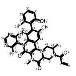 C=CC(=O)N1CC2C(=O)N(C)c3c(c4cc(Cl)c(-c5c(O)cccc5F)c(F)c4n(-c4c(C(C)C)ncnc4C(C)C)c3=O)N2CC1C